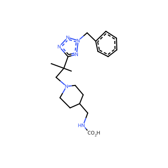 CC(C)(CN1CCC(CNC(=O)O)CC1)c1nnn(Cc2ccccc2)n1